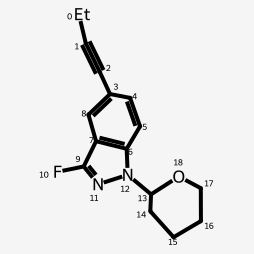 CCC#Cc1ccc2c(c1)c(F)nn2C1CCCCO1